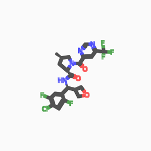 C[C@@H]1C[C@H](C(=O)N[C@@H](c2cc(F)c(Cl)cc2F)C2COC2)N(C(=O)c2cc(C(F)(F)F)ncn2)C1